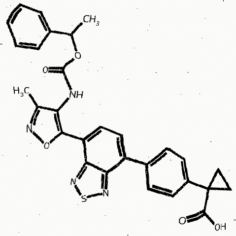 Cc1noc(-c2ccc(-c3ccc(C4(C(=O)O)CC4)cc3)c3nsnc23)c1NC(=O)OC(C)c1ccccc1